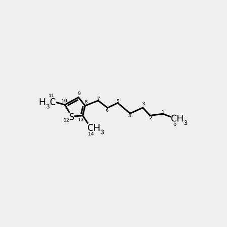 CCCCCCCCc1cc(C)sc1C